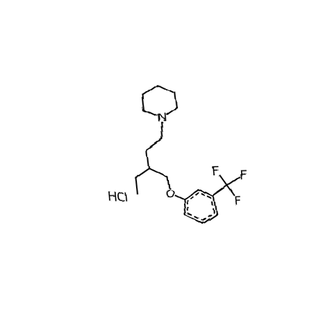 CCC(CCN1CCCCC1)COc1cccc(C(F)(F)F)c1.Cl